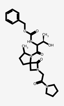 CC1CCC2(CN(CC(=O)N3CCCC3)C2=O)N1C(=O)C(NC(=O)OCc1ccccc1)[C@@H](C)O